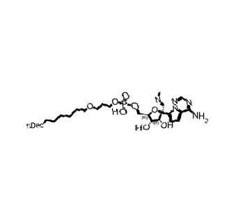 CCCCCCCCCCCCCCCCOCCCOP(=O)(O)OC[C@H]1O[C@@](C=NC)(c2ccc3c(N)ncnn23)[C@H](O)[C@@H]1O